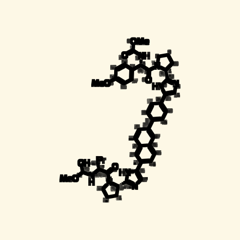 COC(=O)N[C@H](C(=O)N1CCC[C@H]1c1ncc(-c2ccc(-c3ccc4cc(-c5cnc([C@@H]6CCCN6C(=O)[C@@H](NC(O)OC)C(C)C)[nH]5)ccc4c3)cc2)[nH]1)c1ccc(OC)cc1